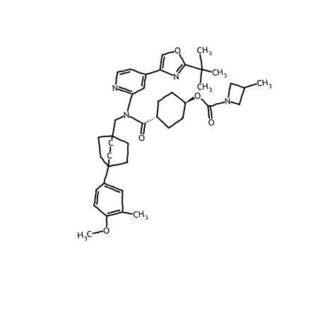 COc1ccc(C23CCC(CN(c4cc(-c5coc(C(C)(C)C)n5)ccn4)C(=O)[C@H]4CC[C@H](OC(=O)N5CC(C)C5)CC4)(CC2)CC3)cc1C